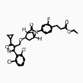 CCOC(=O)CCc1ccc(N2C(=O)[C@@H]3C[C@H]2CC3OCc2c(-c3c(Cl)cccc3Cl)noc2C2CC2)cc1F